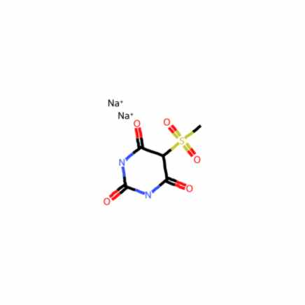 CS(=O)(=O)C1C(=O)[N-]C(=O)[N-]C1=O.[Na+].[Na+]